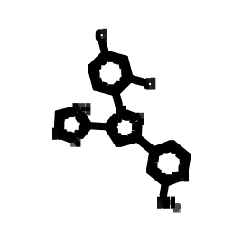 Nc1cc(-c2cc(-c3nnc[nH]3)n(-c3ccc(Cl)cc3Cl)n2)ccn1